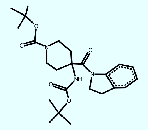 CC(C)(C)OC(=O)NC1(C(=O)N2CCc3ccccc32)CCN(C(=O)OC(C)(C)C)CC1